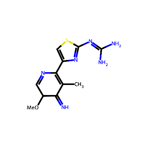 COC1C=NC(c2csc(N=C(N)N)n2)=C(C)C1=N